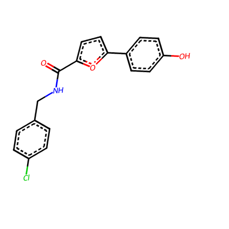 O=C(NCc1ccc(Cl)cc1)c1ccc(-c2ccc(O)cc2)o1